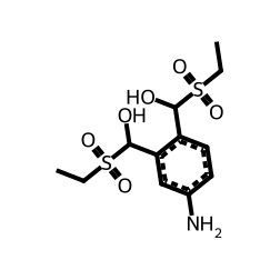 CCS(=O)(=O)C(O)c1ccc(N)cc1C(O)S(=O)(=O)CC